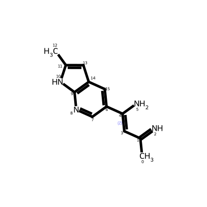 CC(=N)/C=C(\N)c1cnc2[nH]c(C)cc2c1